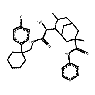 CC1CC2CC(CC(C)(C(=O)Nc3ccncc3)C2)C1C(N)C(=O)NCC1(c2ccc(F)cc2)CCCCC1